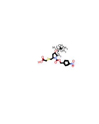 CC(C)(C)[Si](C)(C)OC1CC(CSCC(=O)O)N(C(=O)OCc2ccc([N+](=O)[O-])cc2)C1